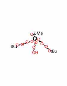 COC(=O)c1cc(OCCOCCOCCOC(C)(C)C)c(OCCOCCO)c(OCCOCCOCCOC(C)(C)C)c1